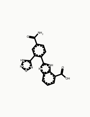 NC(=O)c1ccc(-c2nc3cccc(C(=O)O)c3[nH]2)c(-c2nnn[nH]2)c1